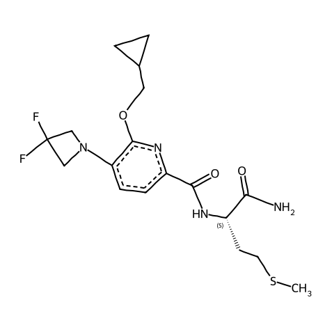 CSCC[C@H](NC(=O)c1ccc(N2CC(F)(F)C2)c(OCC2CC2)n1)C(N)=O